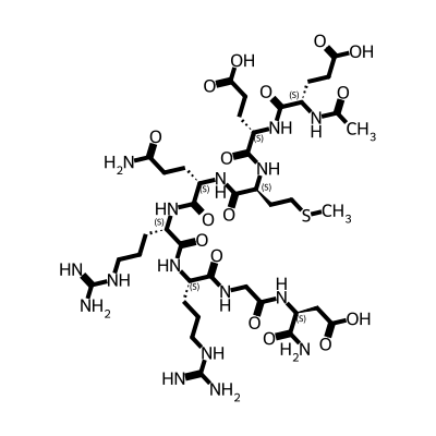 CSCC[C@H](NC(=O)[C@H](CCC(=O)O)NC(=O)[C@H](CCC(=O)O)NC(C)=O)C(=O)N[C@@H](CCC(N)=O)C(=O)N[C@@H](CCCNC(=N)N)C(=O)N[C@@H](CCCNC(=N)N)C(=O)NCC(=O)N[C@@H](CC(=O)O)C(N)=O